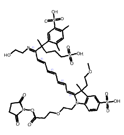 COCCC1(C)\C(=C/C=C/C=C/C=C/C(=N\CCO)C(C)(CCCS(=O)(=O)O)c2cc(S(=O)(=O)O)c(C)cc2C)N(CCOCCC(=O)ON2C(=O)CCC2=O)c2ccc(S(=O)(=O)O)cc21